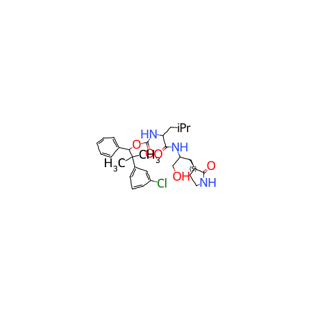 CC(C)CC(NC(=O)OC(c1ccccc1)C(C)(C)c1cccc(Cl)c1)C(=O)NC(CO)C[C@@H]1CCNC1=O